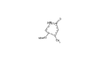 COc1c[nH]c(=O)cc1C